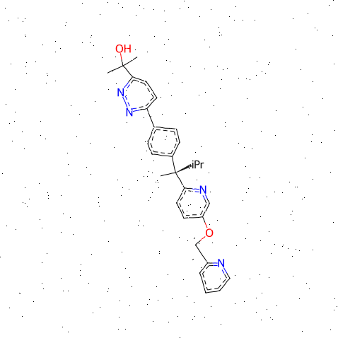 CC(C)[C@@](C)(c1ccc(-c2ccc(C(C)(C)O)nn2)cc1)c1ccc(OCc2ccccn2)cn1